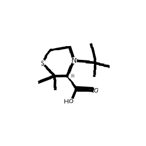 CC1(C)SCCN(C(C)(C)C)[C@H]1C(=O)O